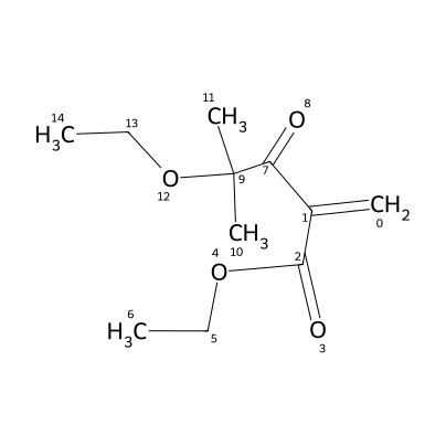 C=C(C(=O)OCC)C(=O)C(C)(C)OCC